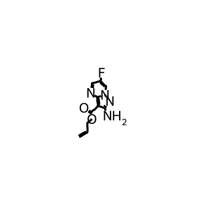 C=CCOC(=O)c1c(N)nn2cc(F)cnc12